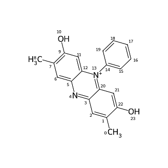 Cc1cc2nc3cc(C)c(O)cc3[n+](-c3ccccc3)c2cc1O